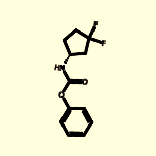 O=C(N[C@@H]1CCC(F)(F)C1)Oc1ccccc1